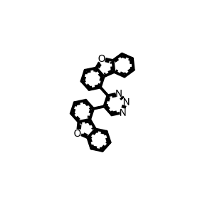 c1ccc2c(c1)oc1cccc(-c3cnnnc3-c3cccc4oc5ccccc5c34)c12